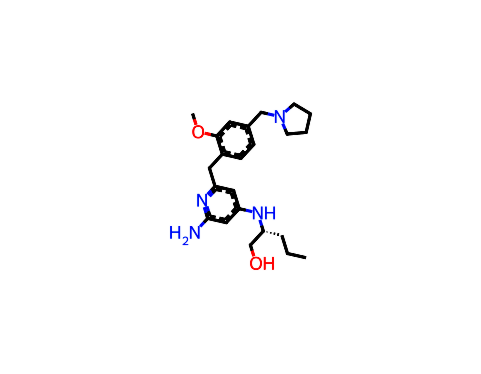 CCC[C@H](CO)Nc1cc(N)nc(Cc2ccc(CN3CCCC3)cc2OC)c1